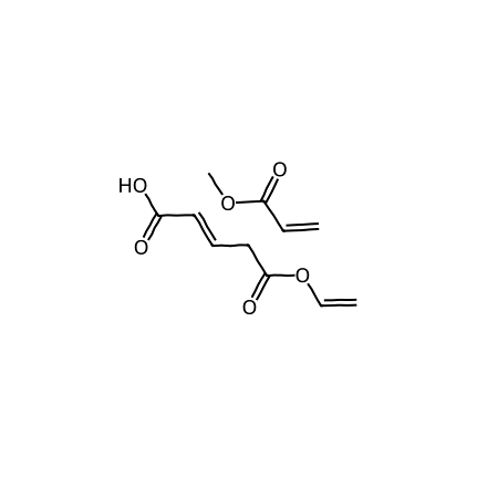 C=CC(=O)OC.C=COC(=O)CC=CC(=O)O